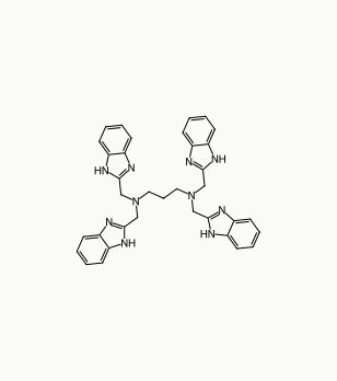 c1ccc2[nH]c(CN(CCCN(Cc3nc4ccccc4[nH]3)Cc3nc4ccccc4[nH]3)Cc3nc4ccccc4[nH]3)nc2c1